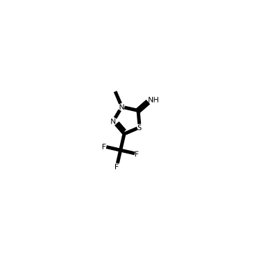 Cn1nc(C(F)(F)F)sc1=N